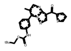 Cc1cnc2c(C(=O)c3cccs3)cnn2c1-c1cccc(NC(=O)OCC(C)(C)C)c1